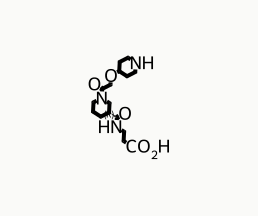 O=C(O)CCNC(=O)[C@@H]1CCCN(C(=O)COC2CCNCC2)C1